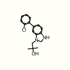 CC(C)(O)CN1CNc2ccc(-c3ccccc3Cl)cc21